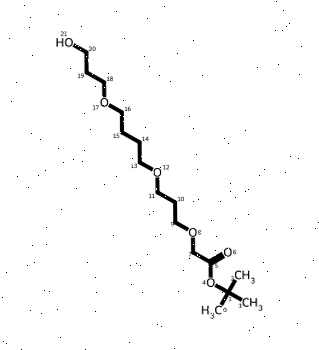 CC(C)(C)OC(=O)COCCCOCCCCOCCCO